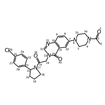 CC(=O)N1CCN(c2ccc3ncn(CC(=O)N4CCCC4c4ccc(Cl)cc4)c(=O)c3c2)CC1